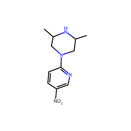 CC1CN(c2ccc([N+](=O)[O-])cn2)CC(C)N1